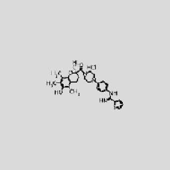 Cc1c(C)c2c(c(C)c1O)CC[C@](C)(C(=O)N1CCN(c3ccc(NC(=N)c4cccs4)cc3)CC1)O2.Cl